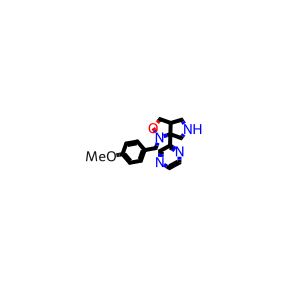 COc1ccc(CN2OCC3CNCC32c2cnccn2)cc1